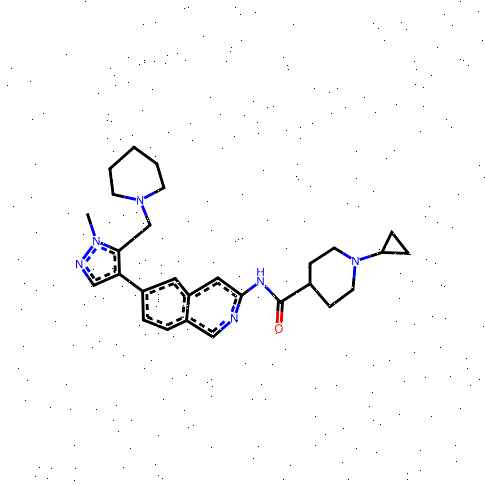 Cn1ncc(-c2ccc3cnc(NC(=O)C4CCN(C5CC5)CC4)cc3c2)c1CN1CCCCC1